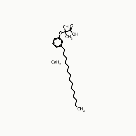 CCCCCCCCCCCCCCCc1cccc(OC(C)(C)C(=O)O)c1.[CaH2]